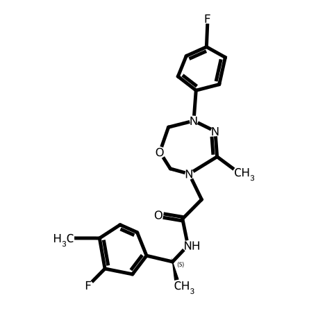 CC1=NN(c2ccc(F)cc2)COCN1CC(=O)N[C@@H](C)c1ccc(C)c(F)c1